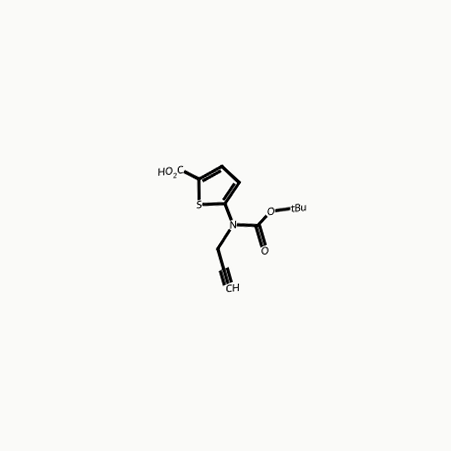 C#CCN(C(=O)OC(C)(C)C)c1ccc(C(=O)O)s1